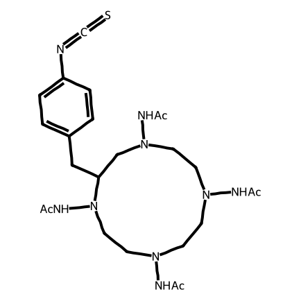 CC(=O)NN1CCN(NC(C)=O)CCN(NC(C)=O)C(Cc2ccc(N=C=S)cc2)CN(NC(C)=O)CC1